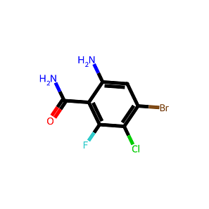 NC(=O)c1c(N)cc(Br)c(Cl)c1F